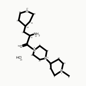 CN1CCC(N2CCN(C(=O)C(N)CC3CCOCC3)CC2)CC1.Cl